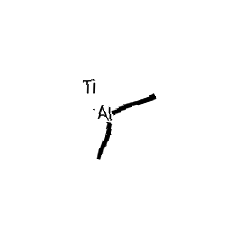 [CH3][Al][CH3].[Ti]